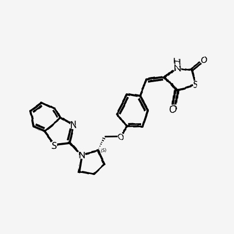 O=C1NC(=Cc2ccc(OC[C@@H]3CCCN3c3nc4ccccc4s3)cc2)C(=O)S1